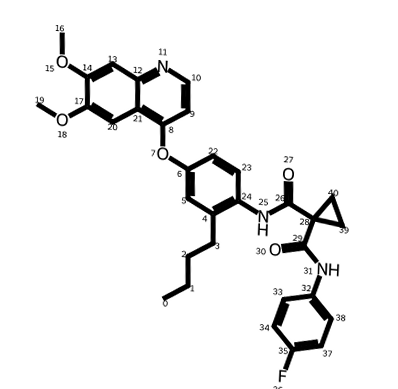 CCCCc1cc(Oc2ccnc3cc(OC)c(OC)cc23)ccc1NC(=O)C1(C(=O)Nc2ccc(F)cc2)CC1